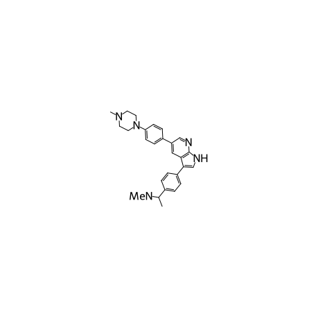 CNC(C)c1ccc(-c2c[nH]c3ncc(-c4ccc(N5CCN(C)CC5)cc4)cc23)cc1